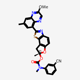 COc1cnc2c(-c3nc4ccc5c(c4s3)C[C@@](C)(OC(=O)N(C)c3cccc(C#N)c3)O5)cc(C)cc2n1